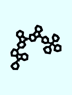 c1ccc(-n2c3ccccc3c3c(-c4ccc5c(c4)c4ccccc4n5-c4ccc5c(c4)c4ccccc4n5-c4ccc([Si](c5ccccc5)(c5ccccc5)c5ccccc5)cc4)cccc32)cc1